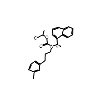 Cc1cccc(CCCN(C(=O)OC(C)Cl)[C@H](C)c2cccc3ccccc23)c1